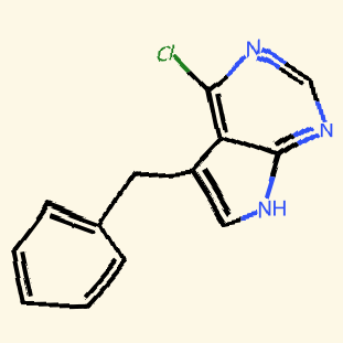 Clc1ncnc2[nH]cc(Cc3ccccc3)c12